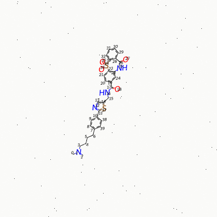 CN(C)CCCCc1ccc(-c2ncc(CNC(=O)c3ccc4c(c3)NC(=O)c3ccccc3S4(=O)=O)s2)cc1